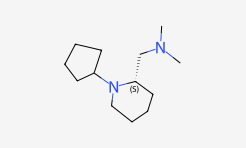 CN(C)C[C@@H]1CCCCN1C1CCCC1